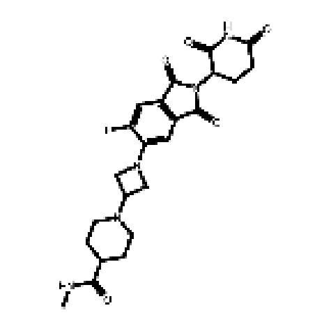 CNC(=O)C1CCN(C2CN(c3cc4c(cc3F)C(=O)N(C3CCC(=O)NC3=O)C4=O)C2)CC1